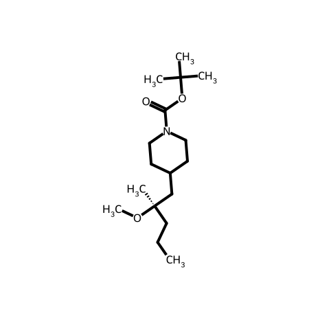 CCC[C@](C)(CC1CCN(C(=O)OC(C)(C)C)CC1)OC